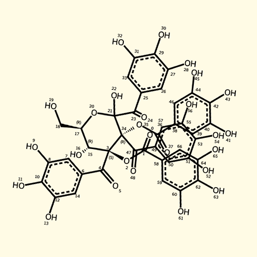 O=C(O[C@@]1(C(=O)c2cc(O)c(O)c(O)c2)[C@H](O)[C@@H](CO)OC(O)(C(=O)c2cc(O)c(O)c(O)c2)[C@@]1(OC(=O)c1cc(O)c(O)c(O)c1)C(=O)c1cc(O)c(O)c(O)c1)c1cc(O)c(O)c(O)c1